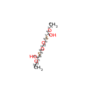 C=CCOCC(O)CSCCOCCOCCSCC(O)COCC=C